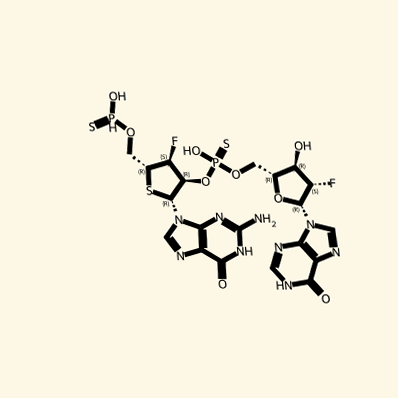 Nc1nc2c(ncn2[C@@H]2S[C@H](CO[PH](O)=S)[C@@H](F)[C@H]2OP(O)(=S)OC[C@H]2O[C@@H](n3cnc4c(=O)[nH]cnc43)[C@@H](F)[C@@H]2O)c(=O)[nH]1